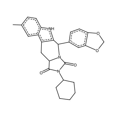 Cc1ccc2[nH]c3c(c2c1)CC1C(=O)N(C2CCCCC2)C(=O)N1C3c1ccc2c(c1)OCO2